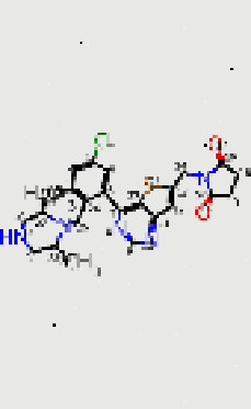 Cc1cc(Cl)cc(-c2ncnc3cc(CN4C(=O)CCC4=O)sc23)c1CN1C(C)CNC[C@@H]1C